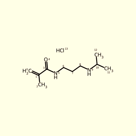 C=C(C)C(=O)NCCCNC(C)C.Cl